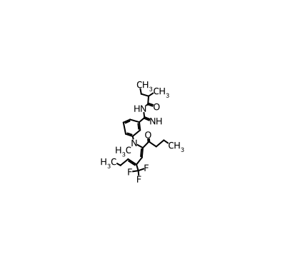 CC/C=C(/C=C(/C(=O)CCC)N(C)c1cccc(C(=N)NC(=O)C(C)CC)c1)C(F)(F)F